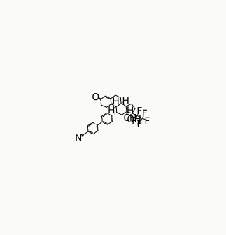 C[C@]12C[C@H](c3ccc(-c4ccc(C#N)cc4)cc3)[C@H]3[C@@H](CCC4=CC(=O)CC[C@@H]43)[C@@H]1CC[C@@]2(O)C(F)(F)C(F)(F)F